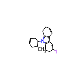 CC1CC=CCC1n1c2c(c3c1CCC(I)=C3)C=CCC2